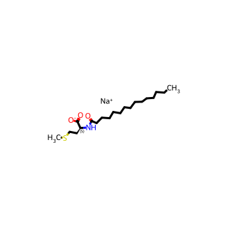 CCCCCCCCCCCCCCC(=O)N[C@@H](CCSC)C(=O)[O-].[Na+]